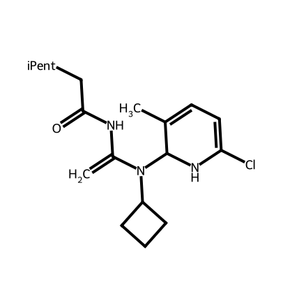 C=C(NC(=O)CC(C)CCC)N(C1CCC1)C1NC(Cl)=CC=C1C